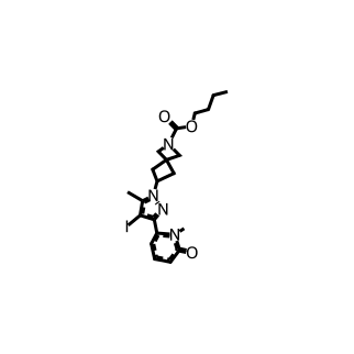 CCCCOC(=O)N1CC2(CC(n3nc(-c4cccc(=O)n4C)c(I)c3C)C2)C1